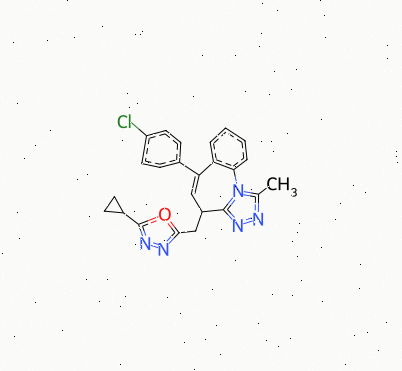 Cc1nnc2n1-c1ccccc1C(c1ccc(Cl)cc1)=CC2Cc1nnc(C2CC2)o1